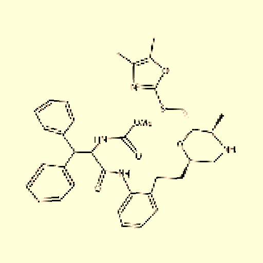 COC(=O)NC(C(=O)Nc1ccccc1CC[C@@H]1CN[C@H](C)[C@@H](CSc2nc(C)c(C)o2)O1)C(c1ccccc1)c1ccccc1